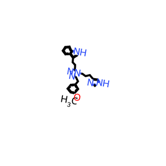 COc1cccc(Cc2nnc(CCc3c[nH]c4ccccc34)n2CCCc2c[nH]cn2)c1